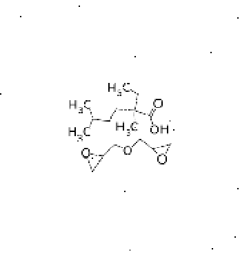 C(OCC1CO1)C1CO1.CCC(C)(CCC(C)C)C(=O)O